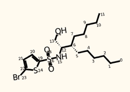 CCCCCC[C@@H](CCCCC)[C@@H](CO)NS(=O)(=O)c1ccc(Br)s1